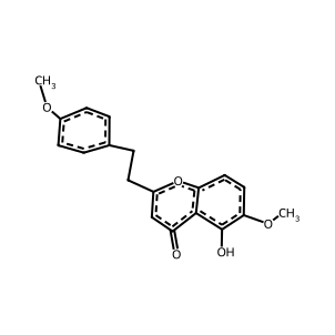 COc1ccc(CCc2cc(=O)c3c(O)c(OC)ccc3o2)cc1